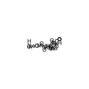 CC(C)CC(NC(=O)CNC(=O)C(Cc1ccccc1)NC(=O)OC(C)(C)C)C(=O)NCC(=O)N1CCC2(CC1)CC(N1CCCN1)C2